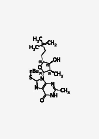 C=P(C)(C)CC[C@H]1O[C@@H](n2c(SCCCC)nc3c(=O)[nH]c(C)nc32)[C@H](C)[C@@H]1O